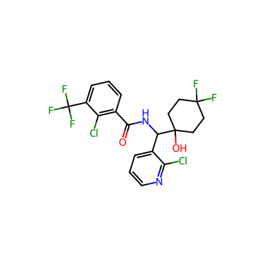 O=C(NC(c1cccnc1Cl)C1(O)CCC(F)(F)CC1)c1cccc(C(F)(F)F)c1Cl